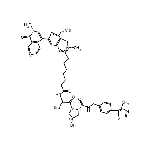 COc1cc(-c2cn(C)c(=O)c3cnccc23)cc(OC)c1CN(C)CCCCCCCC(=O)NC(C(=O)N1C[C@H](O)C[C@H]1C(=O)NCc1ccc(-c2scnc2C)cc1)C(C)(C)C